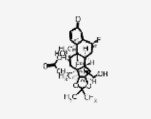 CC(C)=O.CC1(C)O[C@@H]2C[C@H]3[C@@H]4C[C@H](F)C5=CC(=O)C=C[C@]5(C)[C@@]4(F)[C@@H](O)C[C@]3(C)[C@]2(C(=O)CO)O1